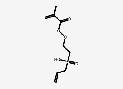 C=CCP(=O)(O)CCOOC(=O)C(=C)C